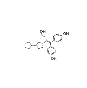 OCCC(=C(c1ccc(O)cc1)c1ccc(O)cc1)C1CCC(C2CCCC2)C1